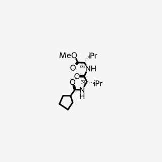 COC(=O)[C@@H](NC(=O)[C@@H](NC(=O)C1CCCC1)C(C)C)C(C)C